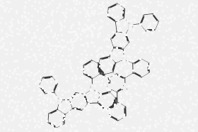 c1ccc(-c2nc(-c3ccccc3-n3c4ccccc4c4cc5c6ccccc6n(-c6ccccc6)c5cc43)cc(-c3ccccc3-n3c4ccccc4c4cc5c6ccccc6n(-c6ccccc6)c5cc43)n2)cc1